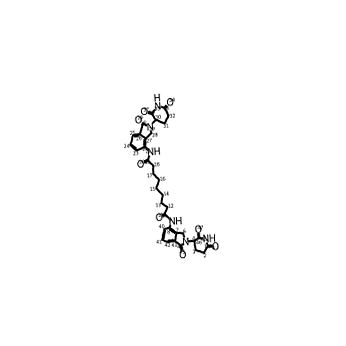 O=C1CCC(N2Cc3c(NC(=O)CCCCCCCC(=O)Nc4cccc5c4CN(C4CCC(=O)NC4=O)C5=O)cccc3C2=O)C(=O)N1